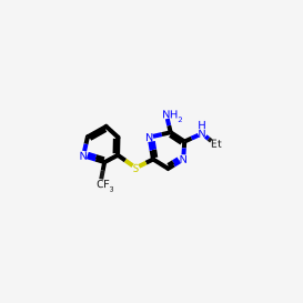 CCNc1ncc(Sc2cccnc2C(F)(F)F)nc1N